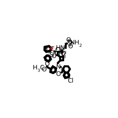 COC(=O)c1ccc2c(c1)N(CC1CCC1C(CC(=O)NCCS(N)(=O)=O)O[Si](c1ccccc1)(c1ccccc1)C(C)(C)C)C[C@@]1(CCCc3cc(Cl)ccc31)CO2